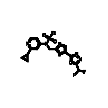 CCS(=O)(=O)N(Cc1ncc(-c2nnc(C(F)F)o2)s1)c1ccnc(C2CC2)c1